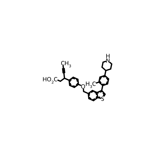 CC#CC(CC(=O)O)c1ccc(OCc2ccc3scc(-c4ccc(C5CCNCC5)cc4C)c3c2)cc1